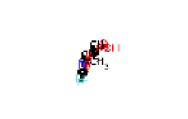 CCc1nc(-c2ccc(C(F)(F)F)cc2)oc1C(C)Oc1ccc(OCC(=O)O)c(C)c1